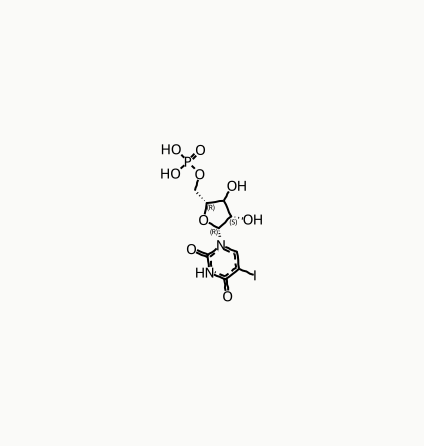 O=c1[nH]c(=O)n([C@@H]2O[C@H](COP(=O)(O)O)C(O)[C@@H]2O)cc1I